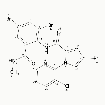 CNC(=O)c1cc(Br)cc(Br)c1NC(=O)c1cc(Br)cn1-c1ncccc1Cl